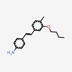 CCCCOc1cc(/C=C/c2ccc(N)cc2)ccc1C